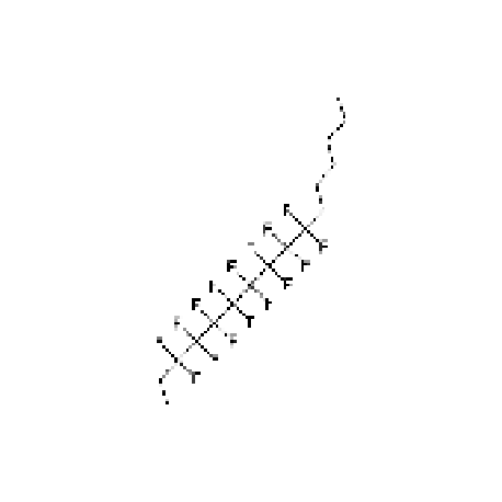 CCCCCCC(F)(F)C(F)(F)C(F)(F)C(F)(F)C(F)(F)C(F)(F)C(F)(F)C(F)(F)CC